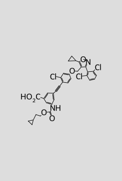 O=C(Nc1cc(C#Cc2ccc(OCc3c(-c4c(Cl)cccc4Cl)noc3C3CC3)cc2Cl)cc(C(=O)O)c1)OCCC1CC1